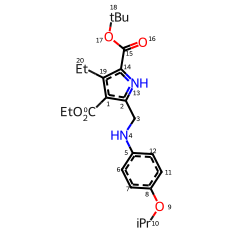 CCOC(=O)c1c(CNc2ccc(OC(C)C)cc2)[nH]c(C(=O)OC(C)(C)C)c1CC